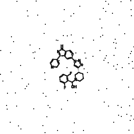 OC(c1c(F)cccc1F)N1CCC[C@@H](c2cn(-c3ccc4[nH]nc(-c5ccncc5)c4c3)nn2)C1